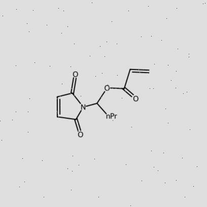 C=CC(=O)OC(CCC)N1C(=O)C=CC1=O